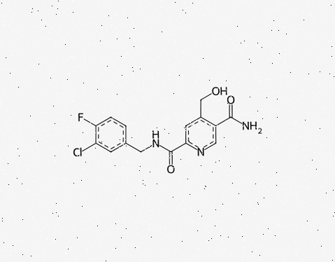 NC(=O)c1cnc(C(=O)NCc2ccc(F)c(Cl)c2)cc1CO